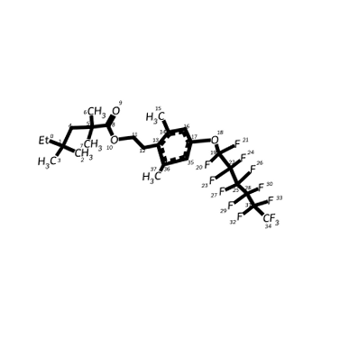 CCC(C)(C)CC(C)(C)C(=O)OCCc1c(C)cc(OC(F)(F)C(F)(F)C(F)(F)C(F)(F)C(F)(F)C(F)(F)F)cc1C